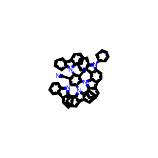 N#Cc1c(-n2c3ccccc3c3ccccc32)c(C#N)c(-n2c3ccccc3c3ccc4c(c5ccccc5n4-c4ccccc4)c32)c(-n2c3ccccc3c3ccccc32)c1-n1c2ccccc2c2ccccc21